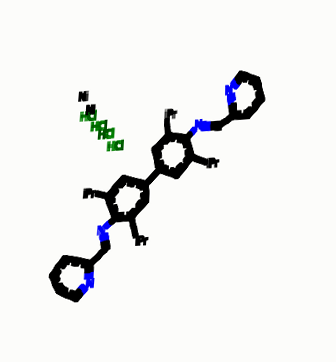 CC(C)c1cc(-c2cc(C(C)C)c(N=Cc3ccccn3)c(C(C)C)c2)cc(C(C)C)c1N=Cc1ccccn1.Cl.Cl.Cl.Cl.[Ni].[Ni]